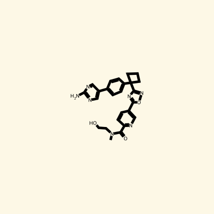 CN(CCO)C(=O)c1ccc(-c2nc(C3(c4ccc(-c5cnc(N)nc5)cc4)CCC3)no2)cn1